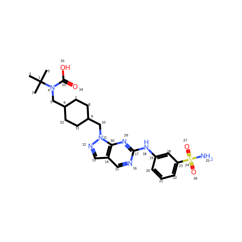 CC(C)(C)N(CC1CCC(Cn2ncc3cnc(Nc4cccc(S(N)(=O)=O)c4)nc32)CC1)C(=O)O